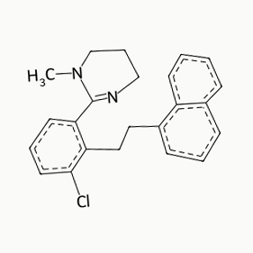 CN1CCCN=C1c1cccc(Cl)c1CCc1cccc2ccccc12